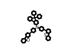 c1ccc(C2(c3ccccc3)c3ccccc3-c3cc(N(c4ccc(-c5ccc6c(c5)oc5ccccc56)cc4)c4ccc(-c5cccc6c5sc5ccccc56)cc4)ccc32)cc1